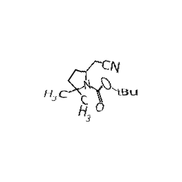 CC(C)(C)OC(=O)N1C(CC#N)CCC1(C)C